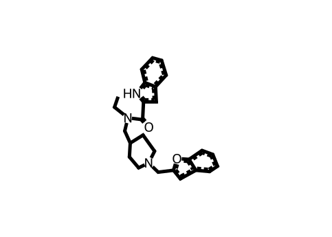 CCN(CC1CCN(Cc2cc3ccccc3o2)CC1)C(=O)c1cc2ccccc2[nH]1